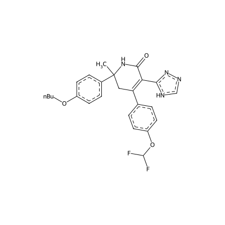 CCCCOc1ccc(C2(C)CC(c3ccc(OC(F)F)cc3)=C(c3nnc[nH]3)C(=O)N2)cc1